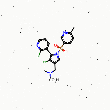 Cc1ccc(S(=O)(=O)n2cc(CN(C)C(=O)O)c(F)c2-c2cccnc2F)cn1